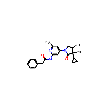 Cc1cc(N2CC(C)C(C#N)(C3CC3)C2=O)cc(NC(=O)Cc2ccccc2)n1